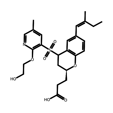 CC/C(C)=C\c1ccc2c(c1)C(S(=O)(=O)c1cc(C)cnc1OCCO)C[C@H](CCC(=O)O)O2